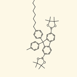 CCCCCCCCc1ccc(C2(c3ccc(C)cc3)c3cc(B4OC(C)(C)C(C)(C)O4)ccc3-c3ccc(B4OC(C)(C)C(C)(C)O4)cc32)cc1